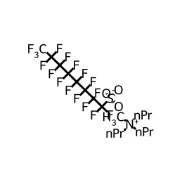 CCC[N+](C)(CCC)CCC.O=S(=O)([O-])C(F)(F)C(F)(F)C(F)(F)C(F)(F)C(F)(F)C(F)(F)C(F)(F)C(F)(F)F